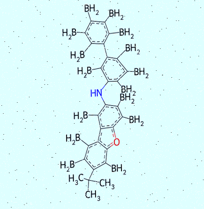 Bc1c(B)c(B)c(-c2c(B)c(B)c(B)c(Nc3c(B)c(B)c4oc5c(B)c(C(C)(C)C)c(B)c(B)c5c4c3B)c2B)c(B)c1B